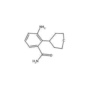 NC(=O)c1cccc(N)c1C1CCCCC1